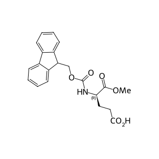 COC(=O)[C@@H](CCC(=O)O)NC(=O)OCC1c2ccccc2-c2ccccc21